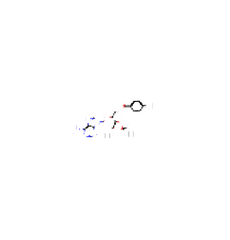 C[C@@H]1OC(C)(C)O[C@@H]1C(COC(=O)c1ccc(C=O)cc1)OCn1cnc2c(N)ncnc21